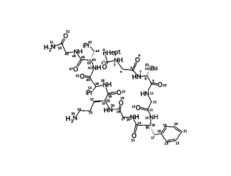 CCCCCCCC(=O)NCC(=O)NC(C(=O)NCC(=O)N[C@H](Cc1ccccc1)C(=O)NCC(=O)N[C@@H](CCCN)C(=O)NC(C(=O)N[C@@H](CC(C)C)C(=O)NCC(N)=O)C(C)C)[C@@H](C)CC